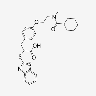 CN(CCOc1ccc(CC(Sc2nc3ccccc3s2)C(=O)O)cc1)C(=O)C1CCCCC1